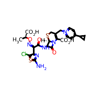 C[C@H](O/N=C(\C(=O)N[C@@H]1C(=O)N2C(C(=O)O)=C(C[n+]3ccc(C4CC4)cc3)CS[C@H]12)c1nc(N)sc1Cl)C(=O)O